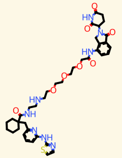 O=C1CCC(N2Cc3c(NC(=O)COCCOCCOCCNCCNC(=O)C4(Cc5cccc(Nc6nccs6)n5)CCCCC4)cccc3C2=O)C(=O)N1